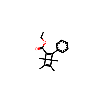 CCOC(=O)C1=C(c2ccccc2)C2(C)C(C)=C(C)C12C